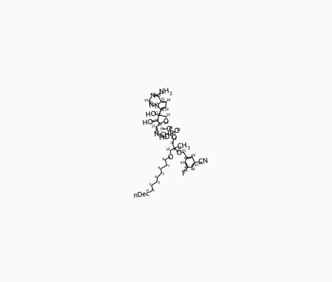 CCCCCCCCCCCCCCCCCCOCC(C)(COP(=O)(O)OC[C@@]1(/C=N\C)OC[C@@](O)(c2ccc3c(N)ncnn23)[C@@H]1O)OCc1cc(F)cc(C#N)c1